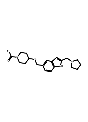 CCC(=O)N1CCC(NCc2ccc3[nH]c(CN4CCCC4)cc3c2)CC1